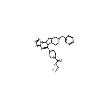 CCOC(=O)N1CCN(C2=Nc3nnnn3C3CC4CN(Cc5ccccc5)CCC4C23)CC1